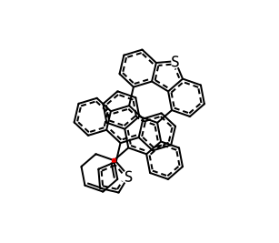 C1=CCCC(c2c3ccccc3c(-c3cccc4sc5cccc(-c6c7ccccc7c(-c7cccs7)c7ccccc67)c5c34)c3ccccc23)=C1